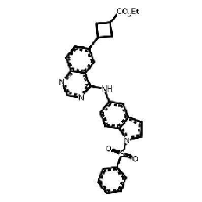 CCOC(=O)C1CC(c2ccc3ncnc(Nc4ccc5c(ccn5S(=O)(=O)c5ccccc5)c4)c3c2)C1